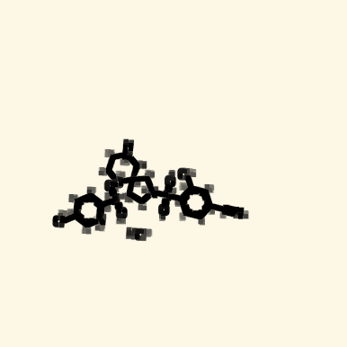 Cl.N#Cc1ccc(S(=O)(=O)N2C[C@H](S(=O)(=O)c3ccc(Cl)cn3)[C@@]3(CNCCO3)C2)c(Cl)c1